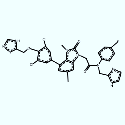 Cc1cc(-c2cc(Cl)c(OCc3nnc[nH]3)c(Cl)c2)c2c(c1)n(CC(=O)N(Cc1nnc[nH]1)c1ccc(F)cc1)c(=O)n2C